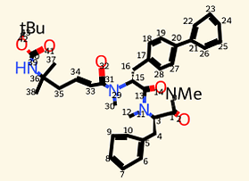 CNC(=O)[C@@H](Cc1ccccc1)N(C)C(=O)[C@@H](Cc1ccc(-c2ccccc2)cc1)N(C)C(=O)C=CCC(C)(C)NC(=O)OC(C)(C)C